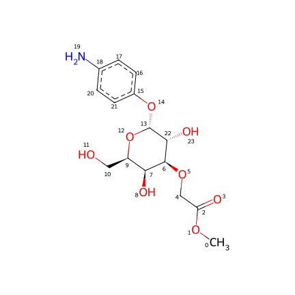 COC(=O)CO[C@H]1[C@@H](O)[C@@H](CO)O[C@H](Oc2ccc(N)cc2)[C@@H]1O